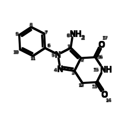 Nc1c2c(nn1-c1ccccc1)CC(=O)NC2=O